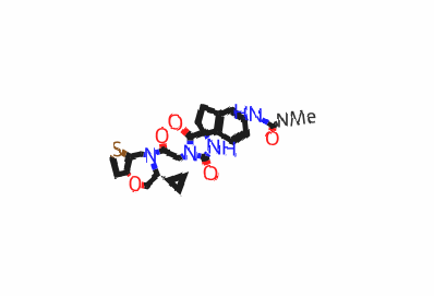 CNC(=O)Nc1ccc2c(c1)CCC21NC(=O)N(CC(=O)N2Cc3sccc3OC[C@H]2C2CC2)C1=O